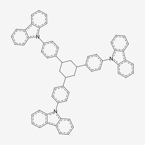 c1ccc2c(c1)c1ccccc1n2-c1ccc(C2CC(c3ccc(-n4c5ccccc5c5ccccc54)cc3)CC(c3ccc(-n4c5ccccc5c5ccccc54)cc3)C2)cc1